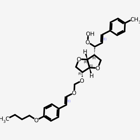 CCCCOc1ccc(/C=C/OCO[C@@H]2CO[C@H]3[C@@H]2OC[C@H]3C(/C=C/c2ccc(C)cc2)OO)cc1